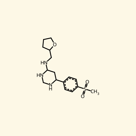 CS(=O)(=O)c1ccc(C2CC(NCC3CCCO3)NCN2)cc1